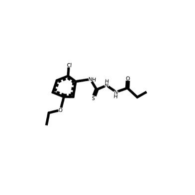 CCOc1ccc(Cl)c(NC(=S)NNC(=O)CC)c1